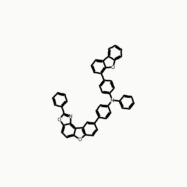 c1ccc(-c2nc3c(ccc4oc5ccc(-c6ccc(N(c7ccccc7)c7ccc(-c8cccc9c8oc8ccccc89)cc7)cc6)cc5c43)o2)cc1